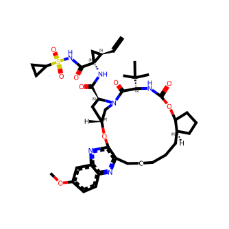 C=C[C@@H]1C[C@]1(NC(=O)[C@@H]1C[C@@H]2CN1C(=O)[C@H](C(C)(C)C)NC(=O)OC1CCC[C@H]1CCCCCc1nc3ccc(OC)cc3nc1O2)C(=O)NS(=O)(=O)C1CC1